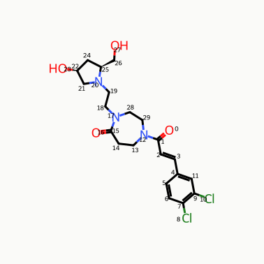 O=C(/C=C/c1ccc(Cl)c(Cl)c1)N1CCC(=O)N(CCN2C[C@@H](O)C[C@H]2CO)CC1